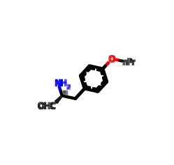 CCCOc1ccc(C[C@H](N)C=O)cc1